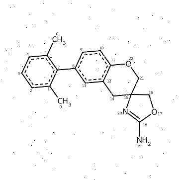 Cc1cccc(C)c1-c1ccc2c(c1)CC1(COC(N)=N1)CO2